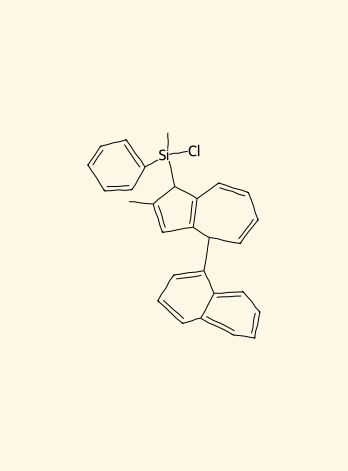 CC1=CC2=C(C=CC=CC2c2cccc3ccccc23)C1[Si](C)(Cl)c1ccccc1